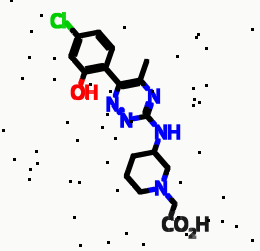 Cc1nc(NC2CCCN(CC(=O)O)C2)nnc1-c1ccc(Cl)cc1O